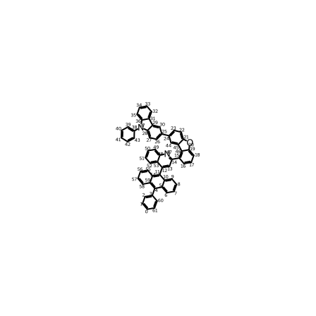 c1ccc(-c2c3ccccc3c(-c3cc(-c4cccc5oc6ccc(-c7ccc8c(c7)c7ccccc7n8-c7ccccc7)cc6c45)nc4ccccc34)c3ccccc23)cc1